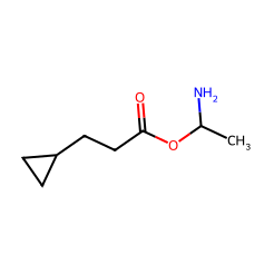 CC(N)OC(=O)CCC1CC1